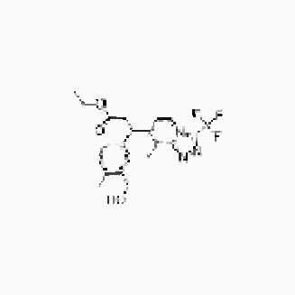 CCOC(=O)CC(c1ccc(C)c(CO)c1)c1ccn2c(C(F)(F)F)nnc2c1C